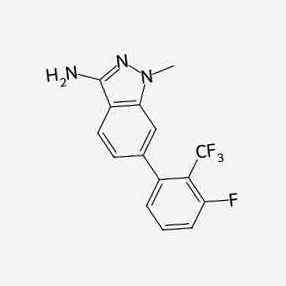 Cn1nc(N)c2ccc(-c3cccc(F)c3C(F)(F)F)cc21